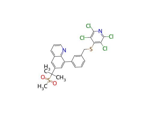 CC(C)(c1cc(-c2cccc(CSc3c(Cl)c(Cl)nc(Cl)c3Cl)c2)c2ncccc2c1)S(C)(=O)=O